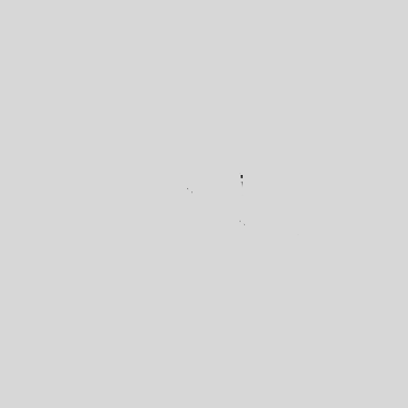 c1ccc(CN2CCN3c4ccccc4Cc4cccc5c4[C@H]3[C@@H]2C5)cc1